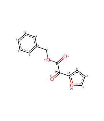 O=C(OCc1ccccc1)C(=O)c1ccco1